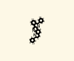 c1ccc(-c2ccc3ccc4c5nc(-c6ccccc6)c6ccccc6c5cnc4c3n2)cc1